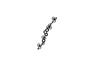 C=COC(=O)CCOc1ccc(C(=O)Sc2ccc3c(ccc4cc(OC(=O)OCCCCOC(=O)C=C)ccc43)c2)cc1